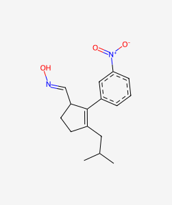 CC(C)CC1=C(c2cccc([N+](=O)[O-])c2)C(C=NO)CC1